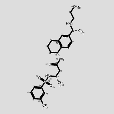 COCCN[C@H](C)c1ccc2c(c1)CCC[C@H]2NC(=O)C[C@H](C)NS(=O)(=O)c1cccc(C(F)(F)F)c1